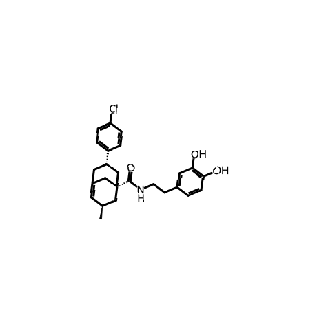 C[C@H]1C=C2C[C@H](c3ccc(Cl)cc3)C[C@](C(=O)NCCc3ccc(O)c(O)c3)(C2)C1